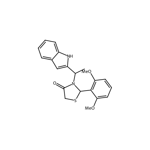 COc1cccc(OC)c1C1SCC(=O)N1C(C)c1cc2ccccc2[nH]1